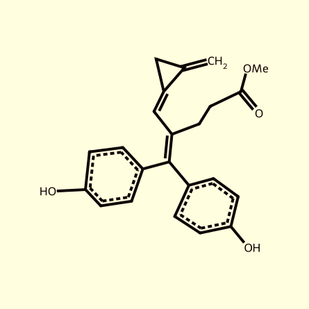 C=C1C/C1=C/C(CCC(=O)OC)=C(c1ccc(O)cc1)c1ccc(O)cc1